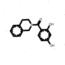 O=C(c1ccc(O)cc1O)N1CCc2ccccc2C1